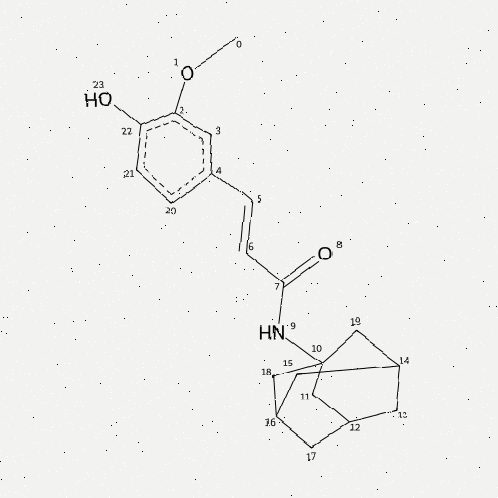 COc1cc(C=CC(=O)NC23CC4CC(CC(C4)C2)C3)ccc1O